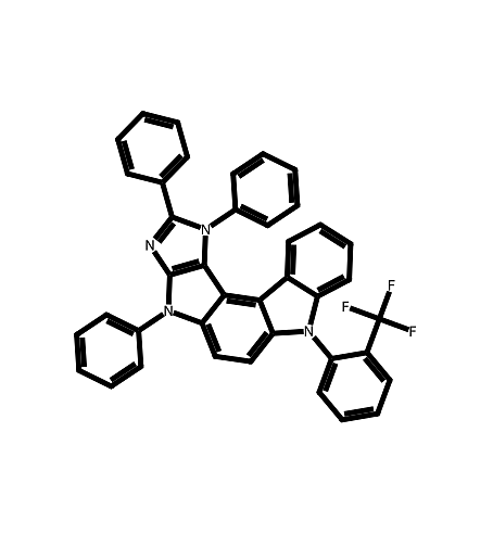 FC(F)(F)c1ccccc1-n1c2ccccc2c2c3c4c(nc(-c5ccccc5)n4-c4ccccc4)n(-c4ccccc4)c3ccc21